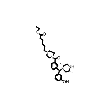 CCOC(=O)CCCCCN1CCN(C(=O)c2cccc(C(c3cccc(O)c3)N3C[C@@H](C)NC[C@H]3C)c2)CC1